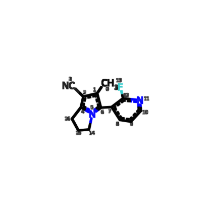 Cc1c(C#N)c2n(c1-c1cccnc1F)CCC2